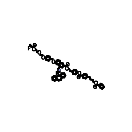 C=C(F)C(=O)OCCOCCOc1ccc(COc2ccc3cc(C(=O)OCCc4ccc(OC(=O)c5ccc(CCCCOC(=O)C6CC7C=CC6C7)cc5)cc4)cc(/C=N/N=c4c5ccccc5ccc5ccccc45)c3c2)cc1